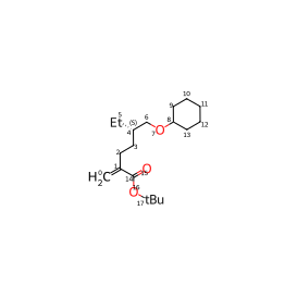 C=C(CC[C@H](CC)COC1CCCCC1)C(=O)OC(C)(C)C